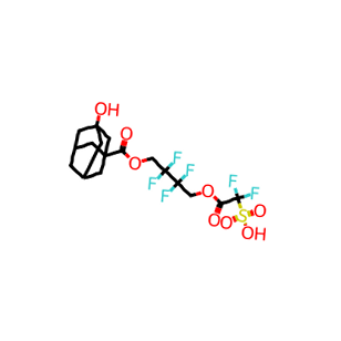 O=C(OCC(F)(F)C(F)(F)COC(=O)C(F)(F)S(=O)(=O)O)C12CC3CC(CC(O)(C3)C1)C2